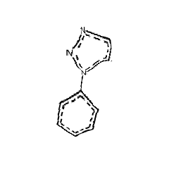 [c]1cnnn1-c1ccccc1